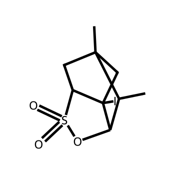 CC1C2OS(=O)(=O)C3CC1(C)CC23I